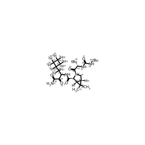 [2H]C([2H])(C(NC(=O)[C@@H]1[C@@H]2[C@H](CN1C(=O)[C@@H](NC(=O)NC(C)(C)C)C(C)(C)C)C2(C)C)C(=O)C(N)=O)C1([2H])C([2H])([2H])C([2H])([2H])C1([2H])[2H]